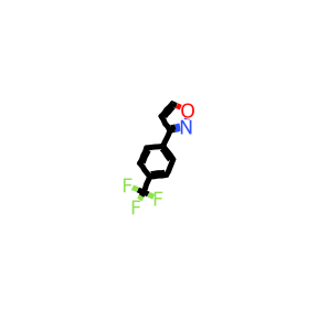 FC(F)(F)c1ccc(-c2ccon2)cc1